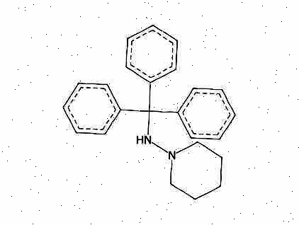 c1ccc(C(NN2CCCCC2)(c2ccccc2)c2ccccc2)cc1